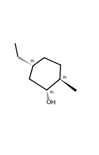 CC[C@@H]1CC[C@@H](C)[C@H](O)C1